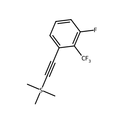 CS(C)(C)C#Cc1cccc(F)c1C(F)(F)F